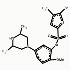 COc1ccc(N2CC(C)NC(C)C2)cc1NS(=O)(=O)c1cc(C)c(Br)s1